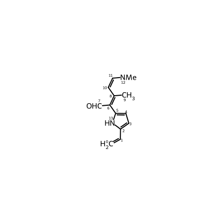 C=Cc1ccc(/C(C=O)=C(C)/C=C\NC)[nH]1